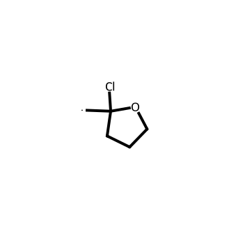 [CH2]C1(Cl)CCCO1